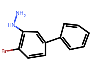 NNc1cc(-c2ccccc2)ccc1Br